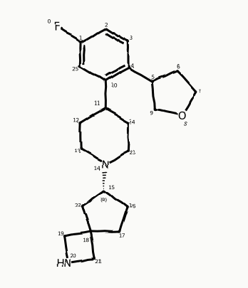 Fc1ccc(C2CCOC2)c(C2CCN([C@@H]3CCC4(CNC4)C3)CC2)c1